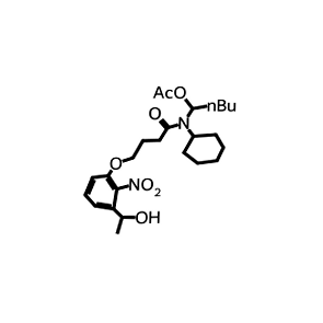 CCCCC(OC(C)=O)N(C(=O)CCCOc1cccc(C(C)O)c1[N+](=O)[O-])C1CCCCC1